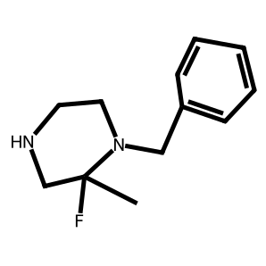 CC1(F)CNCCN1Cc1ccccc1